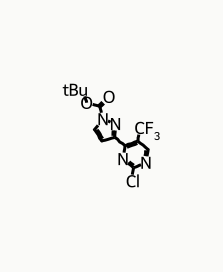 CC(C)(C)OC(=O)n1ccc(-c2nc(Cl)ncc2C(F)(F)F)n1